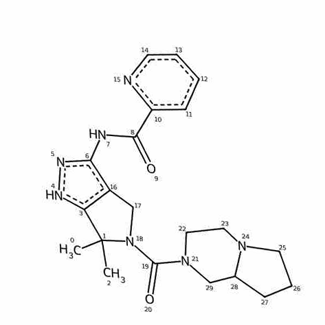 CC1(C)c2[nH]nc(NC(=O)c3ccccn3)c2CN1C(=O)N1CCN2CCCC2C1